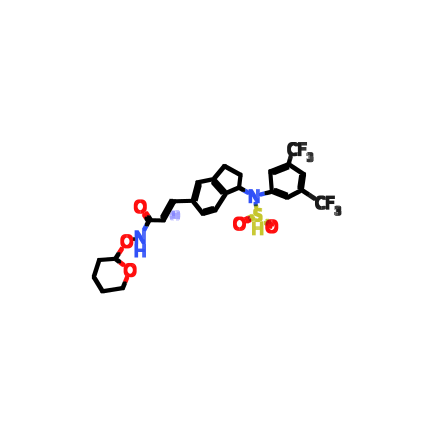 O=C(/C=C/c1ccc2c(c1)CCC2N(c1cc(C(F)(F)F)cc(C(F)(F)F)c1)[SH](=O)=O)NOC1CCCCO1